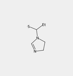 CCC([S])N1C=NCC1